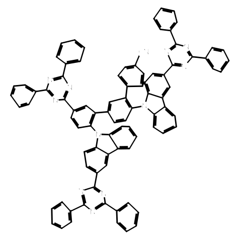 N#Cc1ccc(-c2cc(-c3cc(-c4nc(-c5ccccc5)nc(-c5ccccc5)n4)ccc3-n3c4ccccc4c4cc(-c5nc(-c6ccccc6)nc(-c6ccccc6)n5)ccc43)ccc2-n2c3ccccc3c3cc(-c4nc(-c5ccccc5)nc(-c5ccccc5)n4)ccc32)cc1